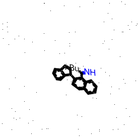 CCCCC(=N)c1c(C2C=Cc3ccccc32)ccc2ccccc12